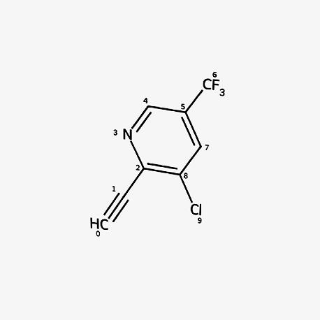 C#Cc1ncc(C(F)(F)F)cc1Cl